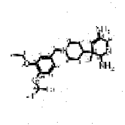 CCOc1cc(CN2CCC(C3(C)C=C(N)C=NC3N)CC2)ccc1OC(F)F